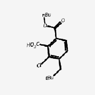 CCCCOC(=O)c1ccc(CC(C)(C)C)c(Cl)c1C(=O)O